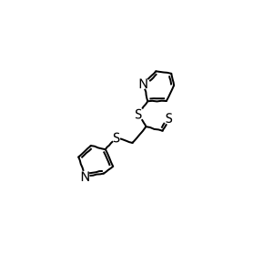 S=CC(CSc1ccncc1)Sc1ccccn1